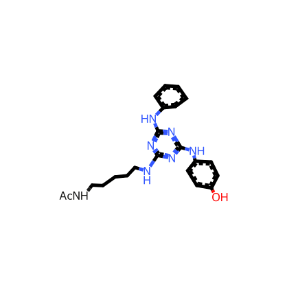 CC(=O)NCCCCCNc1nc(Nc2ccccc2)nc(Nc2ccc(O)cc2)n1